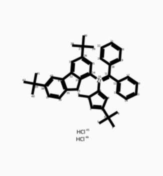 CC1C=C(C(C)(C)C)C=[C]1[Zr](=[C](c1ccccc1)c1ccccc1)[c]1cc(C(C)(C)C)cc2c1Cc1ccc(C(C)(C)C)cc1-2.Cl.Cl